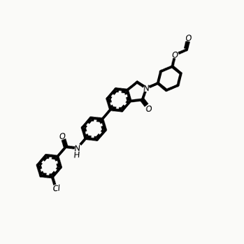 O=COC1CCCC(N2Cc3ccc(-c4ccc(NC(=O)c5cccc(Cl)c5)cc4)cc3C2=O)C1